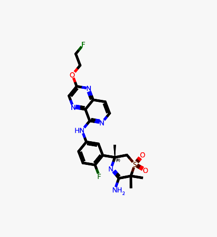 CC1(C)C(N)=N[C@](C)(c2cc(Nc3nccc4nc(OCCF)cnc34)ccc2F)CS1(=O)=O